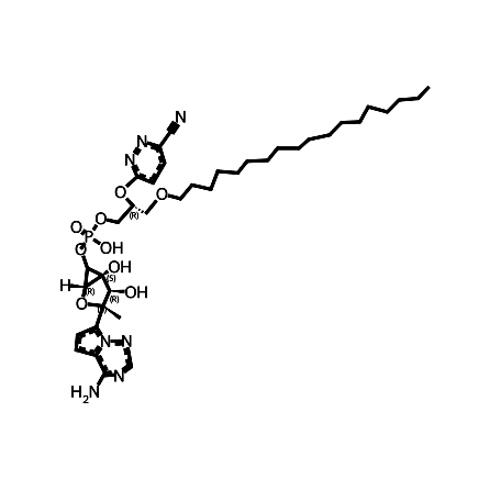 CCCCCCCCCCCCCCCCCCOC[C@H](COP(=O)(O)OC1[C@H]2O[C@@](C)(c3ccc4c(N)ncnn34)[C@H](O)[C@@]12O)Oc1ccc(C#N)nn1